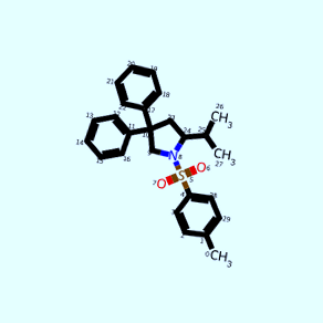 Cc1ccc(S(=O)(=O)N2CC(c3ccccc3)(c3ccccc3)CC2C(C)C)cc1